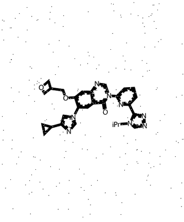 CC(C)n1cnnc1-c1cccc(-n2cnc3cc(OCC4COC4)c(-n4cnc(C5CC5)c4)cc3c2=O)n1